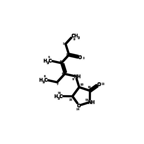 CCC(=O)C(C)=C(CC)NC1C(=O)NOC1C